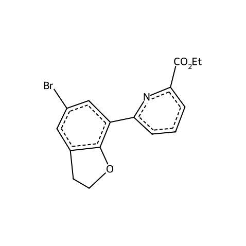 CCOC(=O)c1cccc(-c2cc(Br)cc3c2OCC3)n1